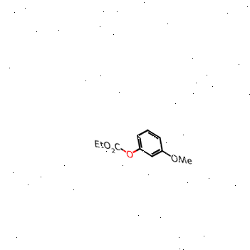 CCOC(=O)Oc1cccc(OC)c1